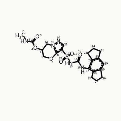 CNC(=O)OC1COc2c(S(=O)(=O)NC(=O)Nc3c4c(cc5c3CCC5)CCC4)cnn2C1